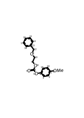 COc1ccc(OC(=O)OCCOCc2ccccc2)cc1